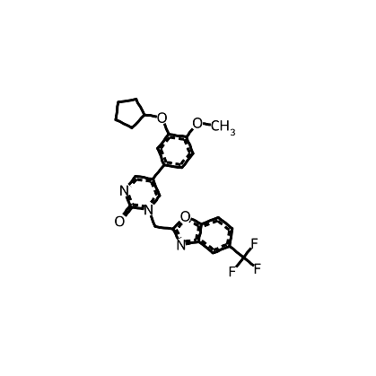 COc1ccc(-c2cnc(=O)n(Cc3nc4cc(C(F)(F)F)ccc4o3)c2)cc1OC1CCCC1